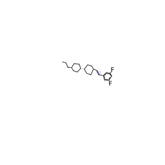 CCC[C@H]1CC[C@H](C2CCC(/C=C/c3cc(F)cc(F)c3)CC2)CC1